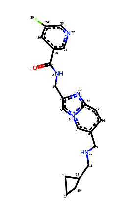 O=C(NCc1cn2cc(CNCC3CCC3)ccc2n1)c1cncc(F)c1